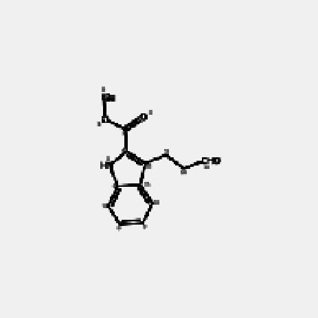 CC(C)(C)OC(=O)c1[nH]c2ccccc2c1CCC=O